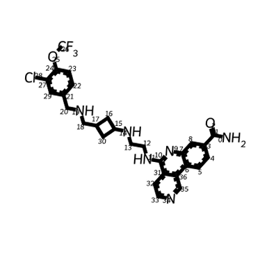 NC(=O)c1ccc2c(c1)nc(NCCNC1CC(CNCc3ccc(OC(F)(F)F)c(Cl)c3)C1)c1ccncc12